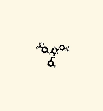 CN(C)[C@@H]1CCN(c2ncc(Sc3ccc(C(N)=O)cc3)c(OCc3cccc(F)c3)n2)C1